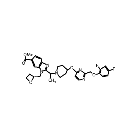 COC(=O)c1ccc2nc(C(C)N3CCC(Oc4ccnc(COc5ccc(F)cc5F)n4)CC3)n(C[C@@H]3CCO3)c2c1